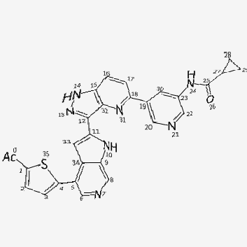 CC(=O)c1ccc(-c2cncc3[nH]c(-c4n[nH]c5ccc(-c6cncc(NC(=O)C7CC7)c6)nc45)cc23)s1